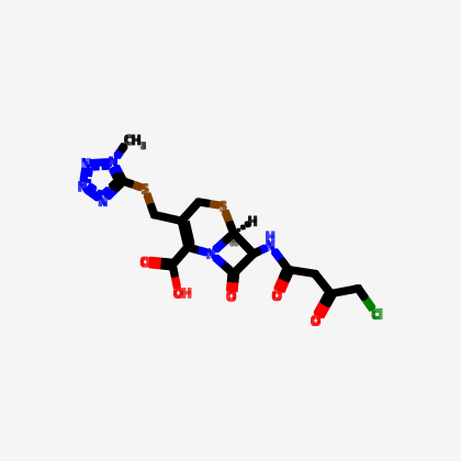 Cn1nnnc1SCC1=C(C(=O)O)N2C(=O)C(NC(=O)CC(=O)CCl)[C@@H]2SC1